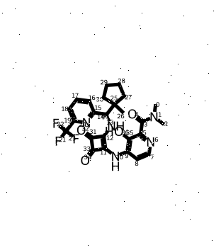 CN(C)C(=O)c1nccc(Nc2c(N[C@@H](c3cccc(C(F)(F)F)n3)C3(C)CCCC3)c(=O)c2=O)c1O